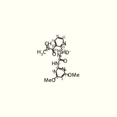 COc1cc(OC)nc(NC(=O)N[S+]([O-])c2ncccc2C(=O)N(C)C)n1